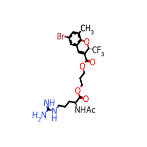 CC(=O)N[C@@H](CCCNC(=N)N)C(=O)OCCCOC(=O)C1=Cc2cc(Br)cc(C)c2O[C@@H]1C(F)(F)F